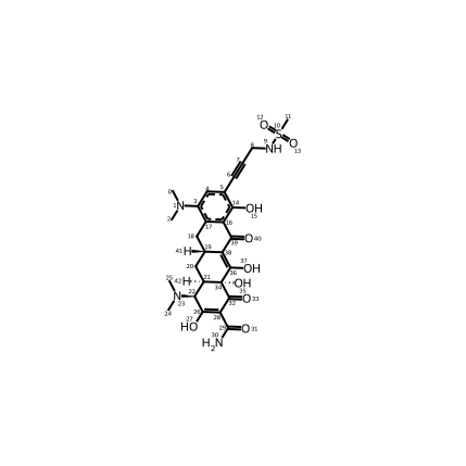 CN(C)c1cc(C#CCNS(C)(=O)=O)c(O)c2c1C[C@H]1C[C@@H]3[C@H](N(C)C)C(O)=C(C(N)=O)C(=O)[C@]3(O)C(O)=C1C2=O